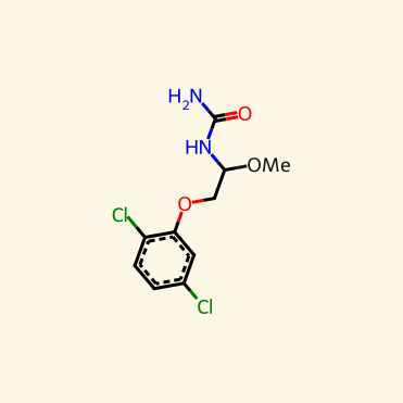 COC(COc1cc(Cl)ccc1Cl)NC(N)=O